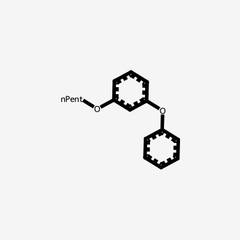 CCCCCOc1cccc(Oc2ccccc2)c1